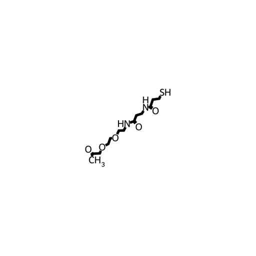 CC(=O)COCCOCCNC(=O)CCNC(=O)CCS